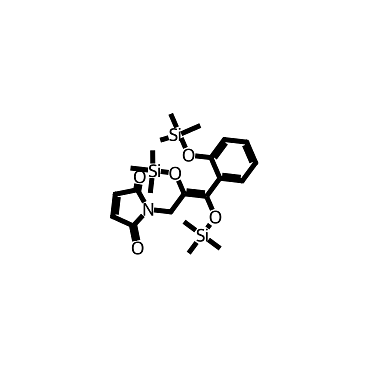 C[Si](C)(C)OC(CN1C(=O)C=CC1=O)=C(O[Si](C)(C)C)c1ccccc1O[Si](C)(C)C